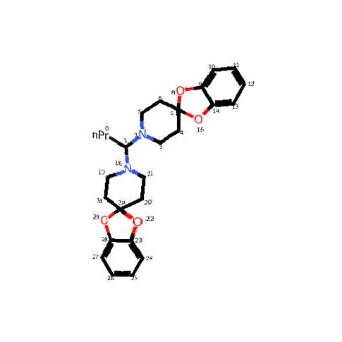 CCCC(N1CCC2(CC1)Oc1ccccc1O2)N1CCC2(CC1)Oc1ccccc1O2